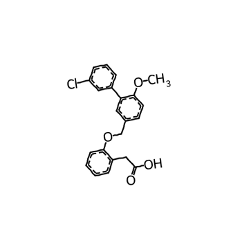 COc1ccc(COc2ccccc2CC(=O)O)cc1-c1cccc(Cl)c1